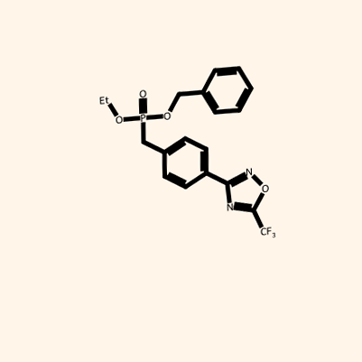 CCOP(=O)(Cc1ccc(-c2noc(C(F)(F)F)n2)cc1)OCc1ccccc1